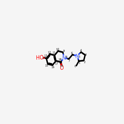 CC1CCCN1CCN1CCc2cc(O)ccc2C1=O